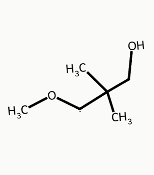 CO[CH]C(C)(C)CO